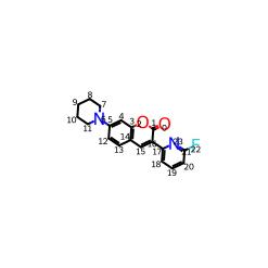 O=c1oc2cc(N3CCCCC3)ccc2cc1-c1cccc(F)n1